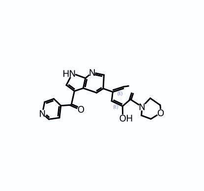 C=C(/C(O)=C\C(=C/C)c1cnc2[nH]cc(C(=O)c3ccncc3)c2c1)N1CCOCC1